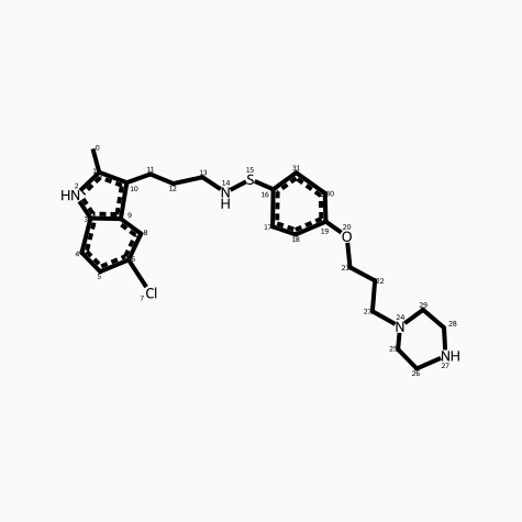 Cc1[nH]c2ccc(Cl)cc2c1CCCNSc1ccc(OCCCN2CCNCC2)cc1